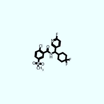 CS(=O)(=O)c1ccc(Cl)c(C(=O)NC(c2ccc(F)nc2)C2CCC(F)(F)CC2)c1